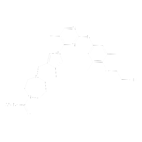 CNC(=O)N1CCCN(Cc2cn(-c3nc(Nc4cc(C)c(OCCO)c(C)c4)ncc3C)cc2C)CC1